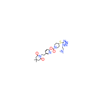 CN(C)CCn1nnnc1SC1CCN(C(=O)Oc2ccc(CCN3C(=O)CC(C)(C)CC3=O)cn2)CC1